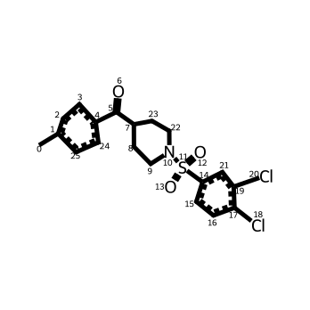 Cc1ccc(C(=O)C2CCN(S(=O)(=O)c3ccc(Cl)c(Cl)c3)CC2)cc1